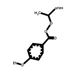 CCCCCC[C](C)OOC(=O)c1ccc(OCC)cc1